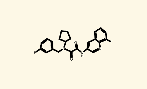 O=C(Nc1cnc2c(F)cccc2c1)C(=O)N(Cc1cccc(F)c1)C1CCCC1